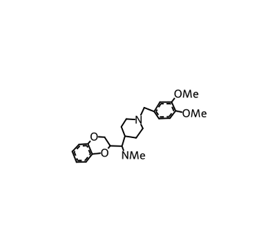 CNC(C1CCN(Cc2ccc(OC)c(OC)c2)CC1)C1COc2ccccc2O1